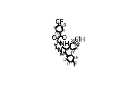 Cl.O=C(C(=O)N1CCn2nc(-c3ccc(F)cc3)c(-c3ccncc3)c2N1)c1ccc(C(F)(F)F)cc1